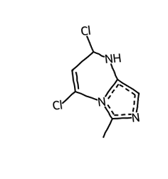 Cc1ncc2n1C(Cl)=CC(Cl)N2